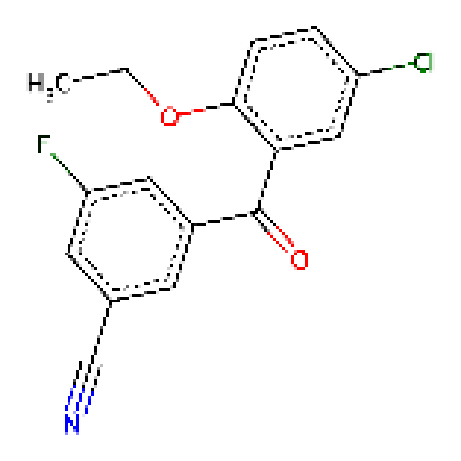 CCOc1ccc(Cl)cc1C(=O)c1cc(F)cc(C#N)c1